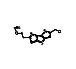 CCCCOSCc1cc2sc3cc(CCl)sc3c2s1